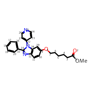 COC(=O)CCCCCOc1ccc2nc(-c3ccccc3)n(-c3ccncc3)c2c1